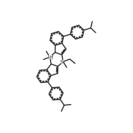 CC[Si]1(C)C2=Cc3c(-c4ccc(C(C)C)cc4)cccc3[CH]2[Hf]([CH3])([CH3])[CH]2C1=Cc1c(-c3ccc(C(C)C)cc3)cccc12